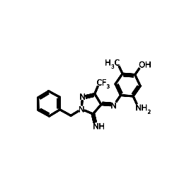 Cc1cc(N=C2C(=N)N(Cc3ccccc3)N=C2C(F)(F)F)c(N)cc1O